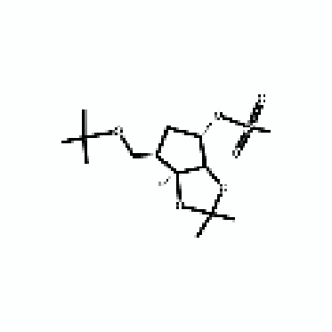 CC(C)(C)OC[C@H]1C[C@H](OS(C)(=O)=O)C2OC(C)(C)O[C@H]21